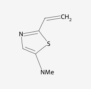 C=Cc1ncc(NC)s1